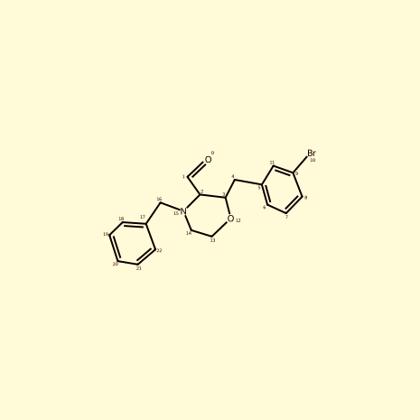 O=CC1C(Cc2cccc(Br)c2)OCCN1Cc1ccccc1